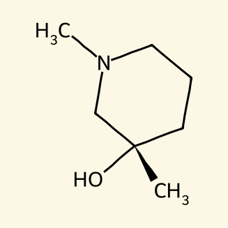 CN1CCC[C@](C)(O)C1